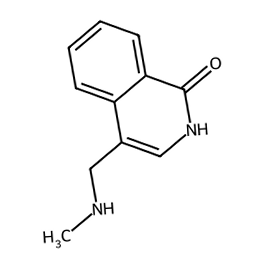 CNCc1c[nH]c(=O)c2ccccc12